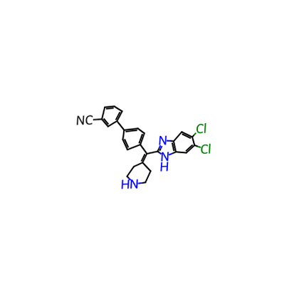 N#Cc1cccc(-c2ccc(C(=C3CCNCC3)c3nc4cc(Cl)c(Cl)cc4[nH]3)cc2)c1